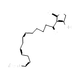 CCCCC/C=C\C/C=C\C/C=C\CCCCC(=O)C1=C(O)COC1=O